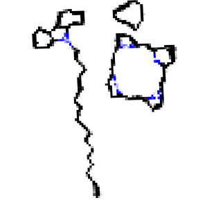 C1=Cc2cc3ccc(cc4nc(cc5ccc(cc1n2)[nH]5)C=C4)[nH]3.CCCCCCCCCCCCCCCCn1c2ccccc2c2ccccc21.c1ccccc1